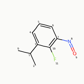 CC(C)c1cccc(N=O)c1F